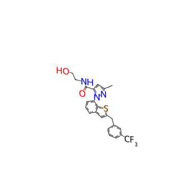 Cc1cc(C(=O)NCCO)n(-c2cccc3cc(Cc4cccc(C(F)(F)F)c4)sc23)n1